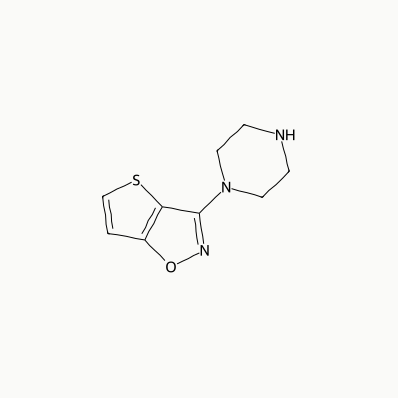 c1cc2onc(N3CCNCC3)c2s1